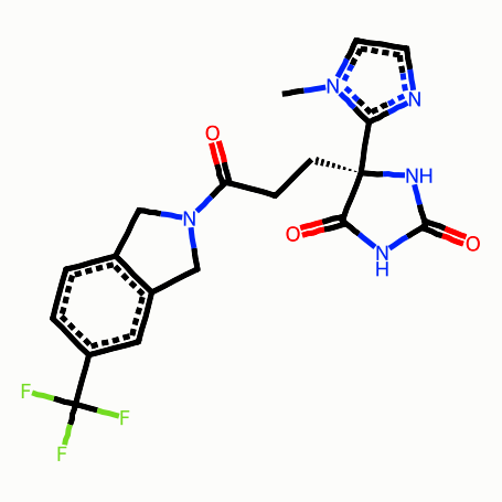 Cn1ccnc1[C@@]1(CCC(=O)N2Cc3ccc(C(F)(F)F)cc3C2)NC(=O)NC1=O